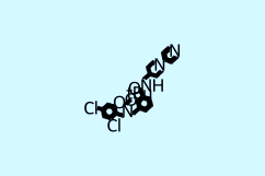 CC(C)(C)OC(=O)N(Cc1cccc(C(=O)NCC2CCN(c3ccncc3)CC2)c1)Cc1ccc(Cl)cc1Cl